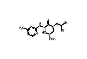 CCC(CC)C[C@@H](CN(O)C=O)C(=O)NNc1nccc(C(F)(F)F)n1